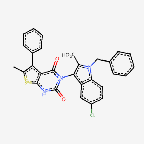 Cc1sc2[nH]c(=O)n(-c3c(C(=O)O)n(Cc4ccccc4)c4ccc(Cl)cc34)c(=O)c2c1-c1ccccc1